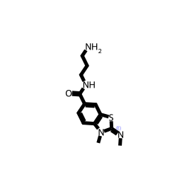 C/N=c1/sc2cc(C(=O)NCCCN)ccc2n1C